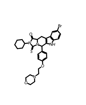 O=C1C2Cc3c([nH]c4ccc(Br)cc34)C(c3ccc(OCCN4CCOCC4)cc3)N2C(=S)N1C1CCCCC1